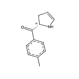 Cc1ccc(C(=O)[C@@H]2CC=CN2)cc1